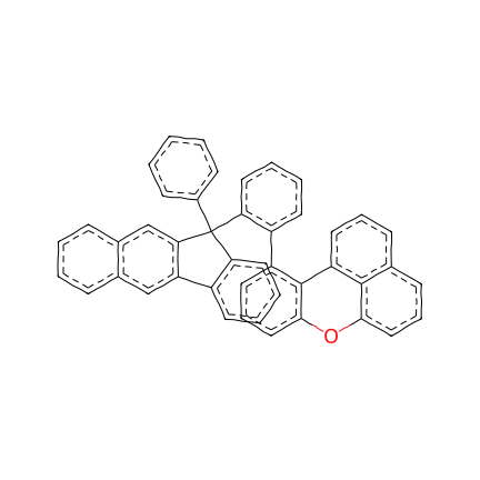 c1ccc(C2(c3ccccc3-c3cccc4c3-c3cccc5cccc(c35)O4)c3ccccc3-c3cc4ccccc4cc32)cc1